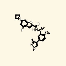 COc1ccc(-c2cn(C)nc2C)cc1[S+]([O-])NC(=O)c1cc2c(F)cc(N3CCC3)cc2o1